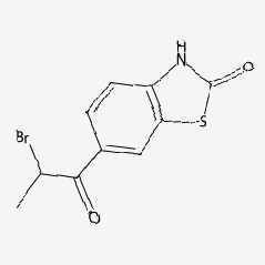 CC(Br)C(=O)c1ccc2[nH]c(=O)sc2c1